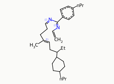 C=C/N=C(\N=C/CC/C(C)=C/CC(CC)C1CCC(CCC)CC1)c1ccc(CCC)cc1